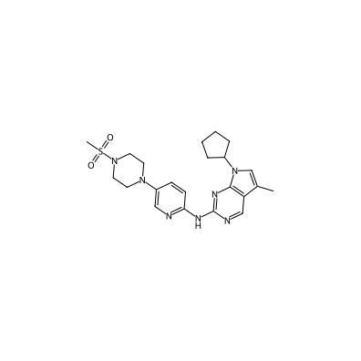 Cc1cn(C2CCCC2)c2nc(Nc3ccc(N4CCN(S(C)(=O)=O)CC4)cn3)ncc12